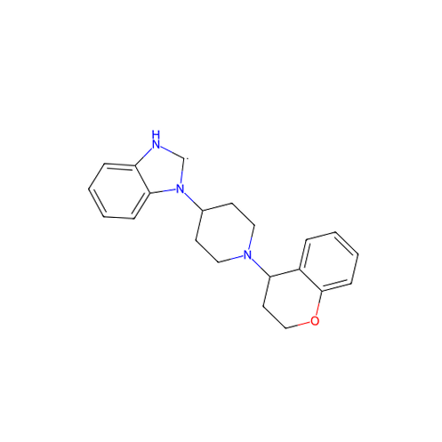 [CH]1Nc2ccccc2N1C1CCN(C2CCOc3ccccc32)CC1